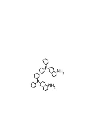 Nc1cccc2[c]c(P(c3ccccc3)c3ccccc3)ccc12.Nc1cccc2[c]c(P(c3ccccc3)c3ccccc3)ccc12